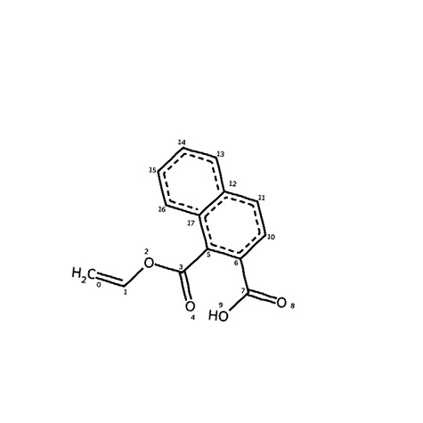 C=COC(=O)c1c(C(=O)O)ccc2ccccc12